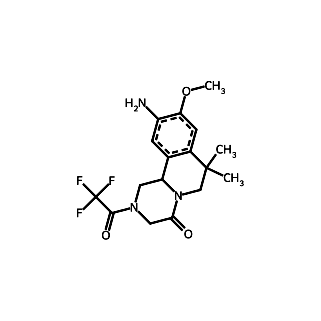 COc1cc2c(cc1N)C1CN(C(=O)C(F)(F)F)CC(=O)N1CC2(C)C